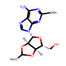 COC1O[C@@H]2[C@H](O1)[C@@H](CO)O[C@H]2n1cnc2c(N)nc(SC)nc21